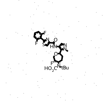 Cn1ncc(NC(=O)c2csc(-c3c(F)cccc3F)n2)c1C1CC[C@@H](N(C(=O)O)C(C)(C)C)[C@H](F)CO1